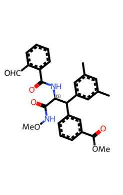 CONC(=O)[C@@H](NC(=O)c1ccccc1C=O)C(c1cc(C)cc(C)c1)c1cccc(C(=O)OC)c1